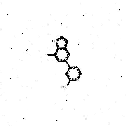 O=C(O)c1cc(-c2cc(Cl)c3[nH]ccc3c2)ncn1